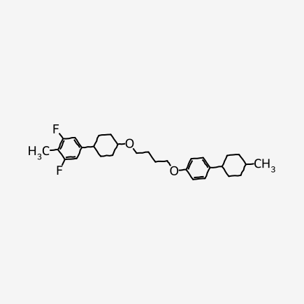 Cc1c(F)cc(C2CCC(OCCCCOc3ccc(C4CCC(C)CC4)cc3)CC2)cc1F